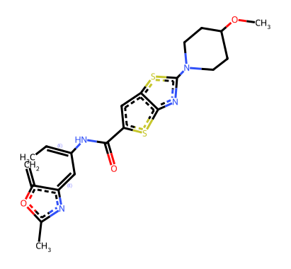 C=c1oc(C)n/c1=C/C(=C\C)NC(=O)c1cc2sc(N3CCC(OC)CC3)nc2s1